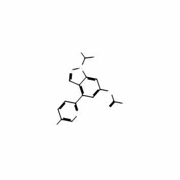 CC(=O)Oc1cc(-c2ccc(C)cn2)c2cnn(C(C)C)c2c1